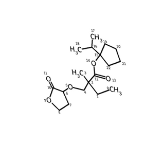 CCC(C)(COC1CCOC1=O)C(=O)OC1(C(C)C)CCCC1